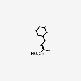 C/C(=C\CC1CCCCC1)C(=O)O